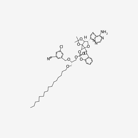 CCCCCCCCCCCCCCCCOC[C@@H](COP(=O)(Oc1ccccc1Cl)OC1C23OC(C)(C)O[C@H]2[C@H](c2ccc4c(N)ncnn24)O[C@]13C)OCc1cc(Cl)cc(C#N)c1